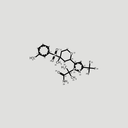 Cc1cccc(S(=O)(=O)C2(C)CCOC(c3cc(C(F)(F)F)nn3C(C)(C)C(N)=O)C2)c1